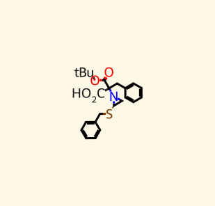 CC(C)(C)OC(=O)C(Cc1ccccc1)(C(=O)O)N1C[C@@H]1SCc1ccccc1